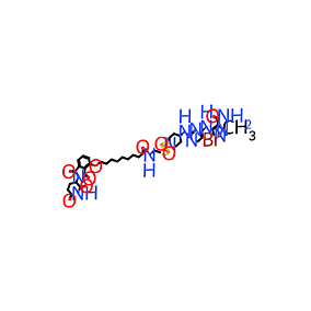 Cn1ncc(Nc2nc(NC3CCN(S(=O)(=O)CCNC(=O)CCCCCCCCOc4cccc5c4C(=O)N(C4CCC(=O)NC4=O)C5=O)CC3)ncc2Br)c1C(N)=O